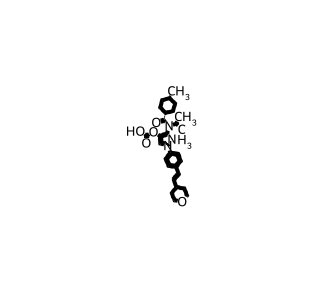 CC(C)N(c1nn(-c2ccc(/C=C/C3CCOCC3)cc2)cc1OC(=O)O)C(=O)[C@H]1CC[C@H](C)CC1